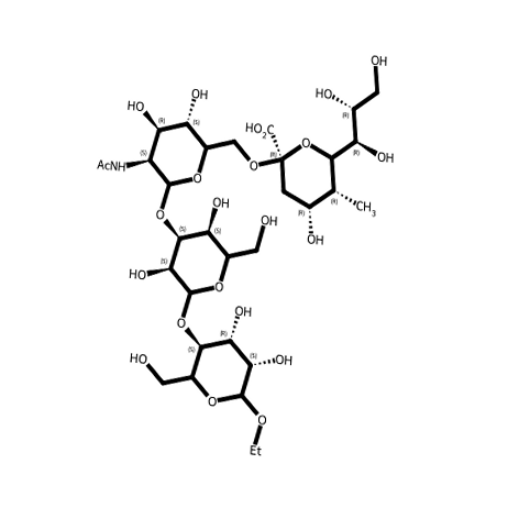 CCOC1OC(CO)[C@@H](OC2OC(CO)[C@H](O)[C@H](OC3OC(CO[C@]4(C(=O)O)C[C@@H](O)[C@@H](C)C([C@H](O)[C@H](O)CO)O4)[C@@H](O)[C@H](O)[C@@H]3NC(C)=O)[C@@H]2O)[C@H](O)[C@@H]1O